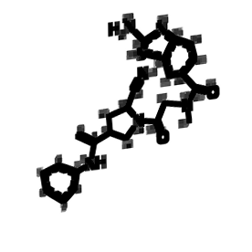 C=C(Nc1ccccc1)C1CC(C#N)N(C(=O)CN(C)C(=O)c2ccc3nc(N)sc3c2)C1